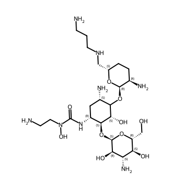 NCCCNC[C@@H]1CC[C@@H](N)[C@@H](OC2[C@@H](N)C[C@@H](NC(=O)N(O)CCN)[C@H](O[C@H]3O[C@H](CO)[C@@H](O)[C@H](N)[C@H]3O)[C@H]2O)O1